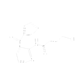 O=C(CCCCl)Nc1ncccc1C(=O)c1cccs1